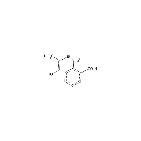 CCC(=CO)C(=O)O.O=C(O)c1ccccc1C(=O)O